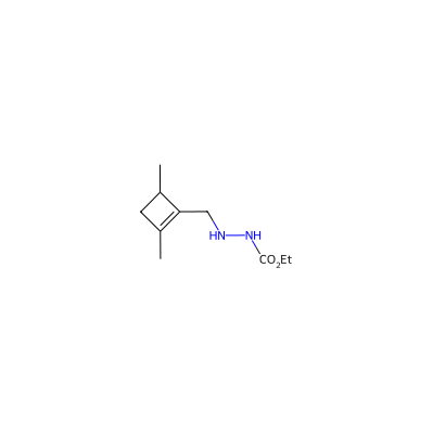 CCOC(=O)NNCC1=C(C)CC1C